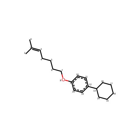 CC(C)=CCCCCOc1ccc(C2CCCCC2)cc1